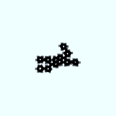 C1=CC(c2cccc(N(c3cccc(-c4ccccc4)c3)c3ccc4ccc5c(N(c6cccc(C7=CCCC=C7)c6)c6cccc(-c7ccccc7)c6)ccc6ccc3c4c65)c2)=CCC1